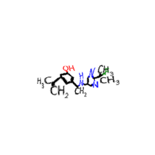 C=C(C)c1cc(O)cc(C(=C)NCc2cnc(C(C)(C)F)nc2)c1